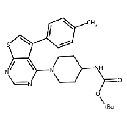 Cc1ccc(-c2csc3ncnc(N4CCC(NC(=O)OC(C)(C)C)CC4)c23)cc1